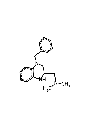 CN(C)CC1CN(Cc2ccccc2)c2ccccc2N1